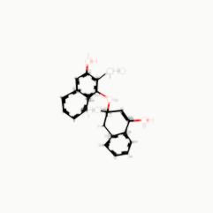 O=Cc1c(O)cc2ccccc2c1OC1(C=O)C=C(O)c2ccccc2C1